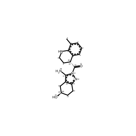 Cc1cccc2c1NCC[C@H]2C(=O)n1nc2c(c1N)C[C@H](O)CC2